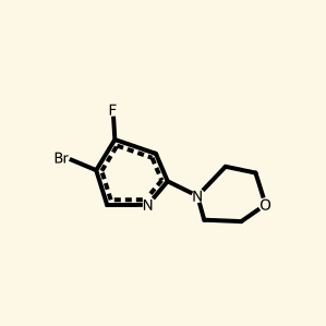 Fc1cc(N2CCOCC2)ncc1Br